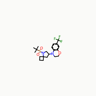 CC(C)(C)S(=O)(=O)N1CC(N2CCOc3cc(C(F)(F)F)ccc32)CC12CCC2